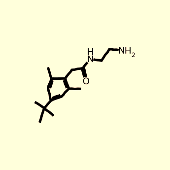 Cc1cc(C(C)(C)C)cc(C)c1CC(=O)NCCN